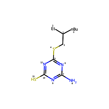 CCCCC(CC)CSc1nc(N)nc(S)n1